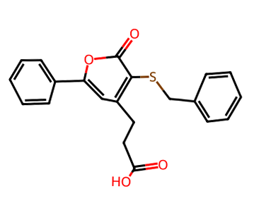 O=C(O)CCc1cc(-c2ccccc2)oc(=O)c1SCc1ccccc1